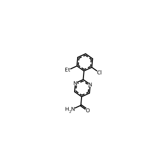 CCc1cccc(Cl)c1-c1ncc(C(N)=O)cn1